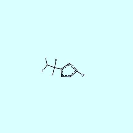 FC(F)C(F)(F)c1ccc(Br)cc1